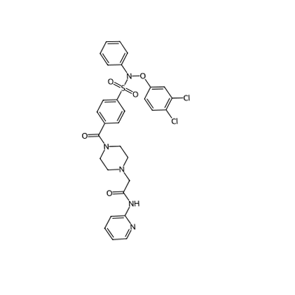 O=C(CN1CCN(C(=O)c2ccc(S(=O)(=O)N(Oc3ccc(Cl)c(Cl)c3)c3ccccc3)cc2)CC1)Nc1ccccn1